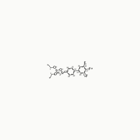 CCOC(OCC)O[SiH2]c1ccc(-c2cc(F)c(F)c(F)c2)cc1